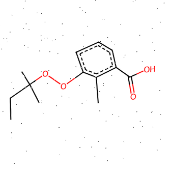 CCC(C)(C)OOc1cccc(C(=O)O)c1C